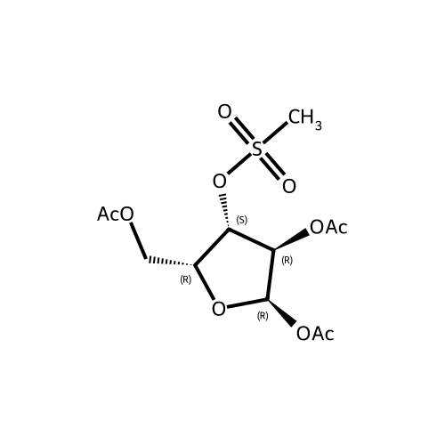 CC(=O)OC[C@H]1O[C@H](OC(C)=O)[C@H](OC(C)=O)[C@H]1OS(C)(=O)=O